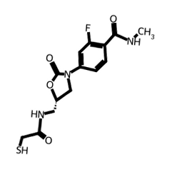 CNC(=O)c1ccc(N2C[C@H](CNC(=O)CS)OC2=O)cc1F